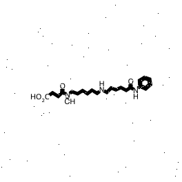 O=C(O)CCC(=O)N(O)CCCCCCNCCCCCC(=O)Nc1ccccc1